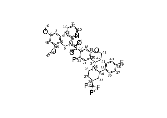 COc1ccc(CN(c2ncccn2)S(=O)(=O)c2cc3c(cc2F)C(N2CCC(C(F)(F)F)CC2c2ccc(F)cc2)CCO3)c(OC)c1